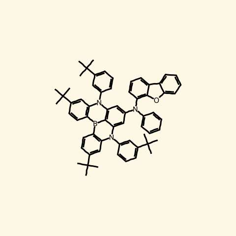 CC(C)(C)c1cccc(N2c3cc(C(C)(C)C)ccc3B3c4ccc(C(C)(C)C)cc4N(c4cccc(C(C)(C)C)c4)c4cc(N(c5ccccc5)c5cccc6c5oc5ccccc56)cc2c43)c1